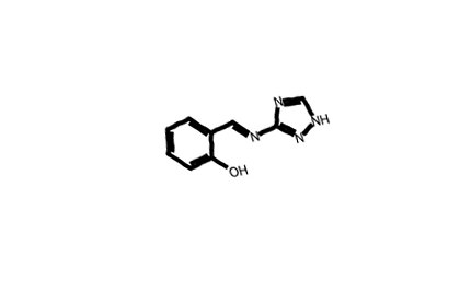 Oc1ccccc1C=Nc1nc[nH]n1